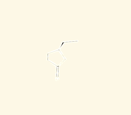 CC[C@@H]1CCC(=O)C1